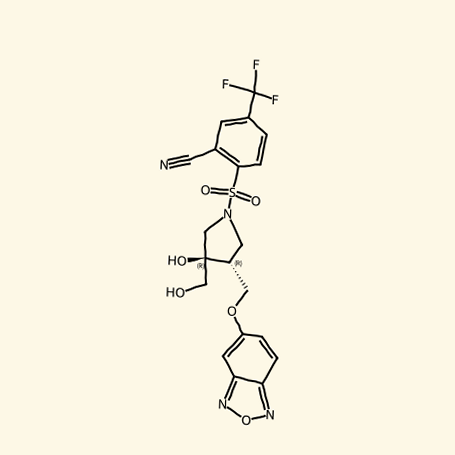 N#Cc1cc(C(F)(F)F)ccc1S(=O)(=O)N1C[C@H](COc2ccc3nonc3c2)[C@](O)(CO)C1